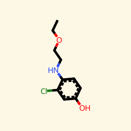 CCOCCNc1ccc(O)cc1Cl